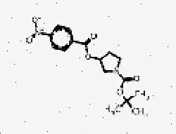 CC(C)(C)OC(=O)N1CCC(OC(=O)c2ccc([N+](=O)[O-])cc2)C1